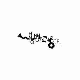 O=C(NCCCC1CC1)c1nnc(N2CCN(C(=O)c3ccccc3C(F)(F)F)CC2)o1